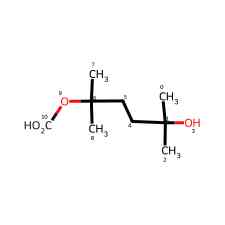 CC(C)(O)CCC(C)(C)OC(=O)O